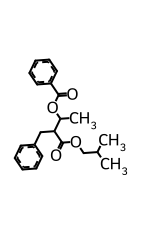 CC(C)COC(=O)C(Cc1ccccc1)C(C)OC(=O)c1ccccc1